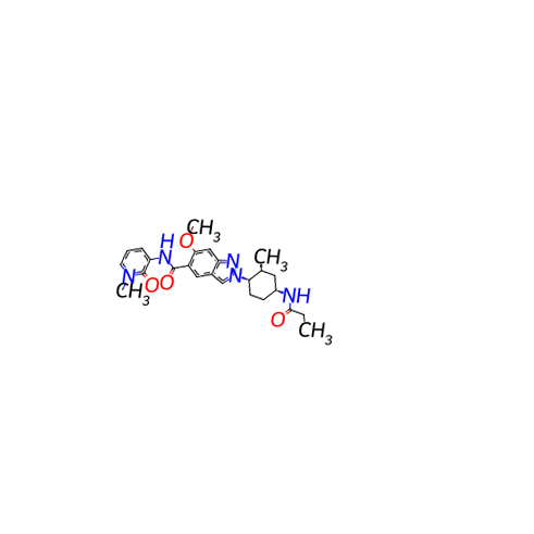 CCC(=O)N[C@H]1CC[C@@H](n2cc3cc(C(=O)Nc4cccn(C)c4=O)c(OC)cc3n2)[C@@H](C)C1